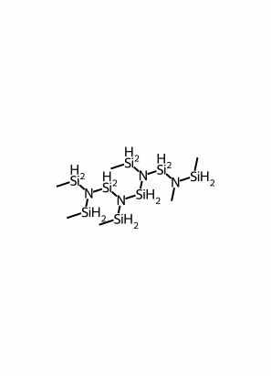 C[SiH2]N(C)[SiH2]N([SiH2]C)[SiH2]N([SiH2]C)[SiH2]N([SiH2]C)[SiH2]C